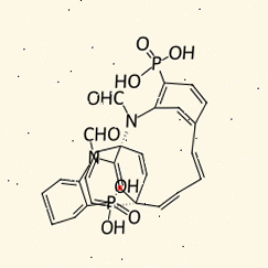 O=CN(C1=C[C@]23C=C[C@@]1(/C=C\C=C/2)N(C=O)c1cc(ccc1P(=O)(O)O)/C=C/C=C\3)c1ccccc1P(=O)(O)O